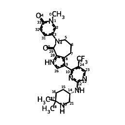 Cn1cc(N2CCCc3c(-c4nc(N[C@H]5CCC(C)(C)NC5)ncc4C(F)(F)F)c[nH]c3C2=O)ccc1=O